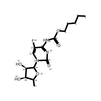 CCCCCOC(=O)Nc1nc(=O)n(C2OC(C)[C@@H](O)[C@H]2O)cc1F